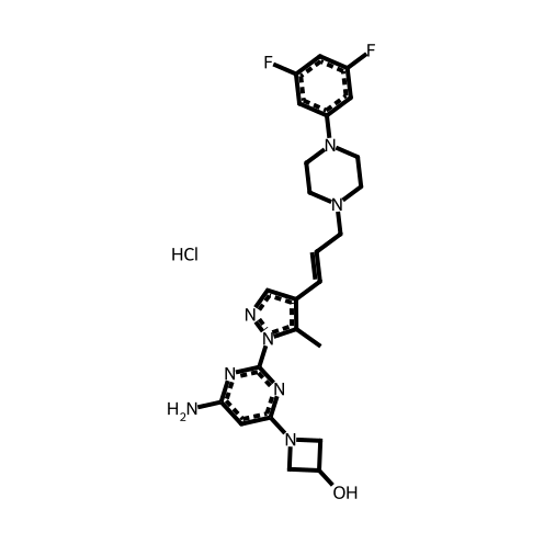 Cc1c(C=CCN2CCN(c3cc(F)cc(F)c3)CC2)cnn1-c1nc(N)cc(N2CC(O)C2)n1.Cl